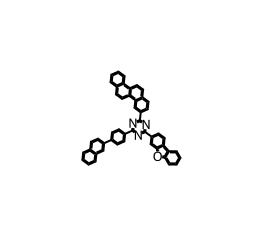 c1ccc2cc(-c3ccc(-c4nc(-c5ccc6c(c5)oc5ccccc56)nc(-c5ccc6ccc7c8ccccc8ccc7c6c5)n4)cc3)ccc2c1